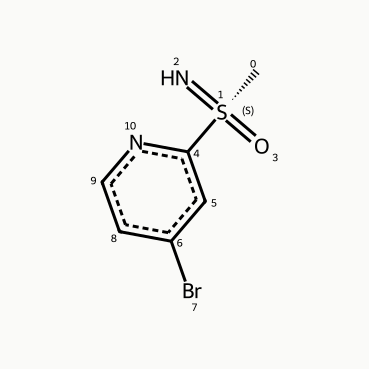 C[S@](=N)(=O)c1cc(Br)ccn1